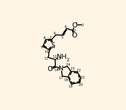 COC(=O)/C=C/Cc1ccc(C[C@@H](N)C(=O)N2Cc3ccccc3C2)s1